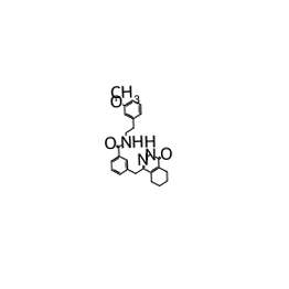 COc1cccc(CCNC(=O)c2cccc(Cc3n[nH]c(=O)c4c3CCCC4)c2)c1